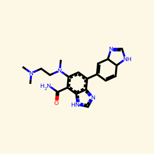 CN(C)CCN(C)c1cc(C2=CC3N=CNC3C=C2)c2nc[nH]c2c1C(N)=O